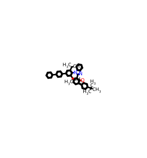 CC(C)c1cc(-c2ccc(-c3ccccc3)cc2)cc(C(C)C)c1-n1c(-c2cccc3c2oc2cc(C(C)(C)C)ccc23)nc2ccccc21